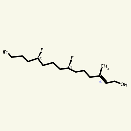 C/C(=C\CO)CCC[C@H](F)CCC[C@H](F)CCCC(C)C